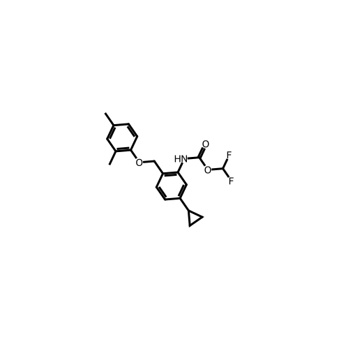 Cc1ccc(OCc2ccc(C3CC3)cc2NC(=O)OC(F)F)c(C)c1